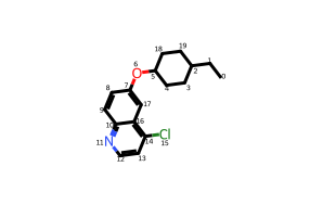 CCC1CCC(Oc2ccc3nccc(Cl)c3c2)CC1